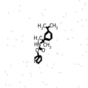 CC(C)c1cccc(C(C)(C)NC(=O)OC2CN3CCC2CC3)c1